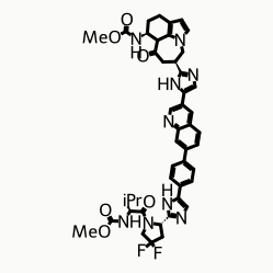 COC(=O)N[C@H]1CCc2ccn3c2C1C(=O)C[C@H](c1ncc(-c2cnc4cc(-c5ccc(-c6cnc([C@@H]7CC(F)(F)CN7C(=O)[C@@H](NC(=O)OC)C(C)C)[nH]6)cc5)ccc4c2)[nH]1)C3